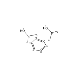 CC(C)O.CC(C)O.c1ccccc1